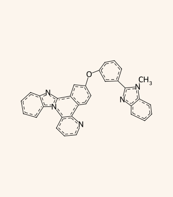 Cn1c(-c2cccc(Oc3ccc4c(c3)c3nc5ccccc5n3c3cccnc43)c2)nc2ccccc21